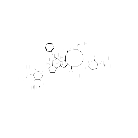 CC[C@H]1CCC[C@H](O[C@H]2CC[C@H](N(C)C)C(C)O2)[C@@H](C)C(=O)C2=C[C@H]3[C@@H]4C[C@H](O[C@@H]5OC(C)[C@H](OC)C(OC)C5OC)C[C@H]4[C@@H]4[C@H]([C@H]3[C@@H]2CC(=O)O1)N4c1ccccc1